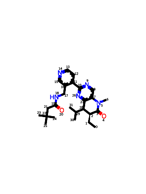 CC[C@@H]1C(=O)N(C)c2cnc(-c3ccncc3CNC(=O)CC(C)(C)C)nc2C1C(C)C